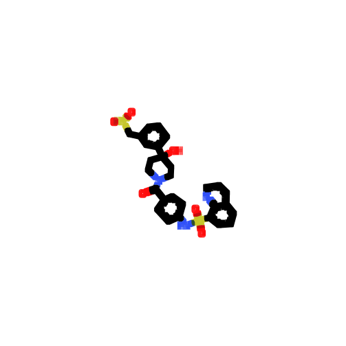 O=C(c1ccc(NS(=O)(=O)c2cccc3cccnc23)cc1)N1CCC(O)(c2cccc(C[SH](=O)=O)c2)CC1